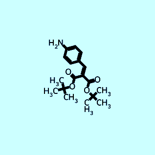 CC(C)(C)OC(=O)C(=Cc1ccc(N)cc1)C(=O)OC(C)(C)C